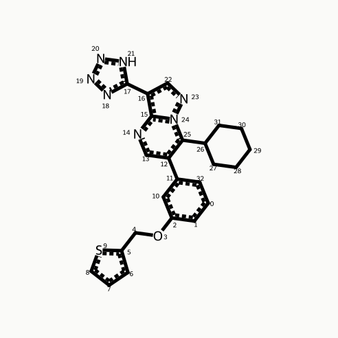 c1cc(OCc2cccs2)cc(-c2cnc3c(-c4nnn[nH]4)cnn3c2C2CCCCC2)c1